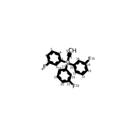 C#C[Si](c1cccc(F)c1)(c1cccc(F)c1)c1cccc(F)c1